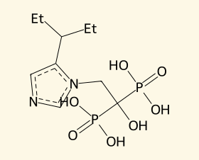 CCC(CC)c1cncn1CC(O)(P(=O)(O)O)P(=O)(O)O